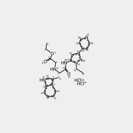 CCOC(=O)CN[C@@H](Cc1c[nH]c2ccccc12)C(=O)Nc1cc(-c2ccncc2)nn1CC.Cl.Cl